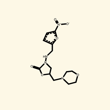 O=C1OC(CN2CCOCC2)CN1NCc1ccc([N+](=O)[O-])o1